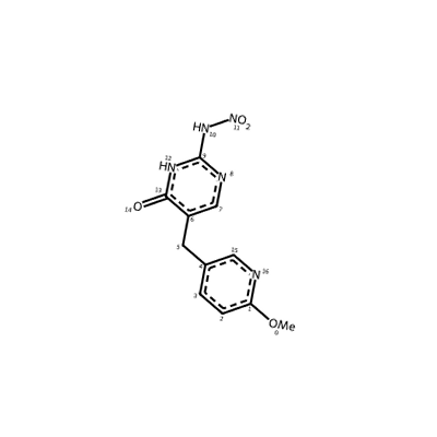 COc1ccc(Cc2cnc(N[N+](=O)[O-])[nH]c2=O)cn1